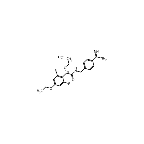 CCOc1cc(F)c([C@H](OCC)C(=O)NCc2ccc(C(=N)N)cc2)c(F)c1.Cl